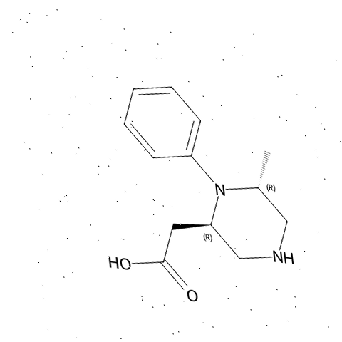 C[C@@H]1CNC[C@@H](CC(=O)O)N1c1ccccc1